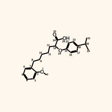 COc1ccccc1CCCCCC(Oc1ccc(C(C)C)cc1)C(=O)O